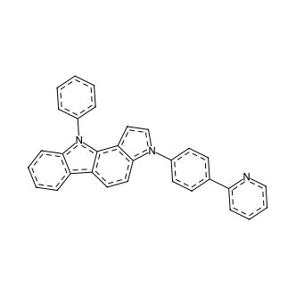 c1ccc(-n2c3ccccc3c3ccc4c(ccn4-c4ccc(-c5ccccn5)cc4)c32)cc1